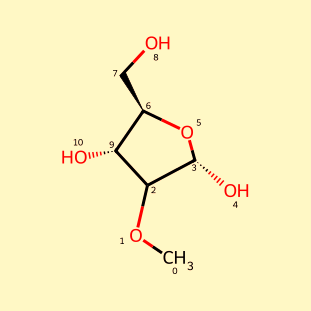 COC1[C@@H](O)O[C@H](CO)[C@H]1O